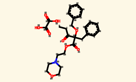 CCC(=O)C(Cc1ccccc1)(OCc1ccccc1)C(=O)OCCN1CCOCC1.O=C(O)C(=O)O